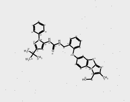 Cc1nc2sc3cc(Oc4ccccc4CNC(=O)Nc4cc(C(C)(C)C)nn4-c4ccccc4)ccc3n2c1CO